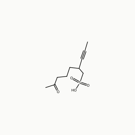 CC#CC(CCCC(C)=O)CS(=O)(=O)O